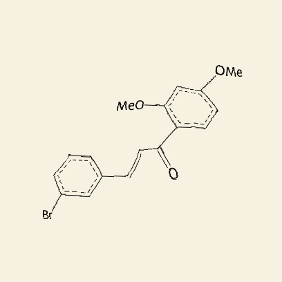 COc1ccc(C(=O)C=Cc2cccc(Br)c2)c(OC)c1